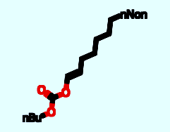 CCCCCCCCCCCCCC/C=C/OC(=O)OCCCC